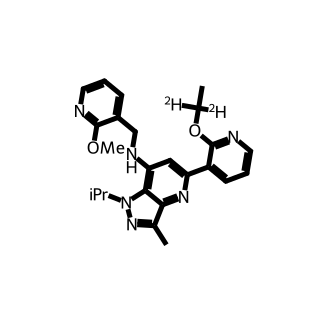 [2H]C([2H])(C)Oc1ncccc1-c1cc(NCc2cccnc2OC)c2c(n1)c(C)nn2C(C)C